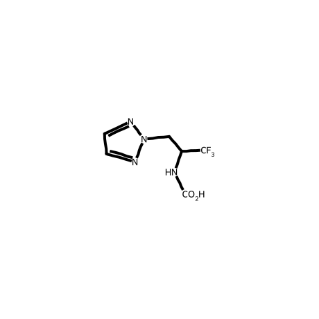 O=C(O)NC(Cn1nccn1)C(F)(F)F